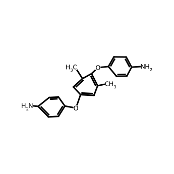 Cc1cc(Oc2ccc(N)cc2)cc(C)c1Oc1ccc(N)cc1